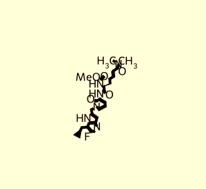 COC(=O)N[C@@H](CC/C=C/C(=O)N(C)C)C(=O)Nc1cccn(Cc2cc3ncc(F)c(CC4CC4)c3[nH]2)c1=O